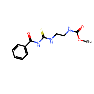 CC(C)(C)OC(=O)NCCNC(=S)NC(=O)c1ccccc1